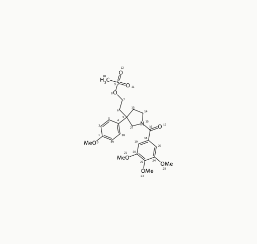 COc1ccc(C2(CCOS(C)(=O)=O)CCN(C(=O)c3cc(OC)c(OC)c(OC)c3)C2)cc1